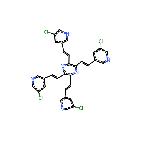 Clc1cncc(C=Cc2nc(C=Cc3cncc(Cl)c3)c(C=Cc3cncc(Cl)c3)nc2C=Cc2cncc(Cl)c2)c1